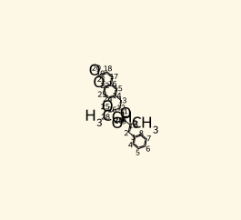 C/C(=C\c1ccccc1)C(=O)O[C@H]1Cc2cc3ccc(=O)oc3cc2OC1(C)C